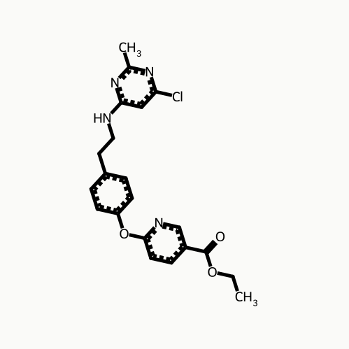 CCOC(=O)c1ccc(Oc2ccc(CCNc3cc(Cl)nc(C)n3)cc2)nc1